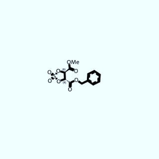 COC(=O)[C@@H]1OS(=O)(=O)O[C@H]1C(=O)OCc1ccccc1